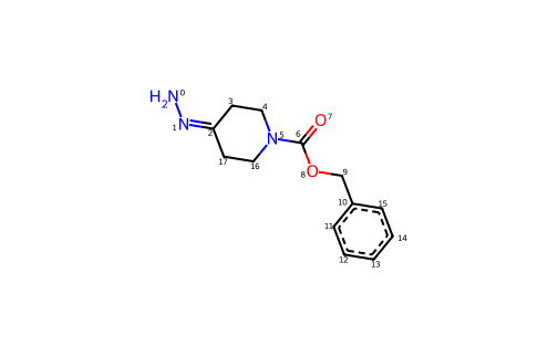 NN=C1CCN(C(=O)OCc2ccccc2)CC1